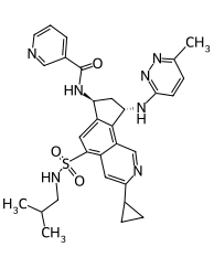 Cc1ccc(N[C@H]2C[C@H](NC(=O)c3cccnc3)c3cc(S(=O)(=O)NCC(C)C)c4cc(C5CC5)ncc4c32)nn1